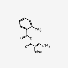 CC=C(CCCCCC)C(=O)OC(=O)c1ccccc1N